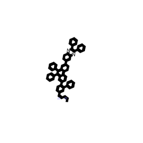 C/C=C\C=C/c1ccc(-c2ccc3c4c(c(-c5ccccc5)c(C5=CCCC=C5)c3c2)C=C(C2=Cc3nc(-c5ccccc5)c(-c5ccccc5)nc3CC2)CC4)c(-c2ccccc2)c1